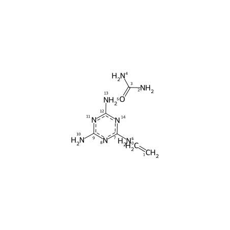 C=C.NC(N)=O.Nc1nc(N)nc(N)n1